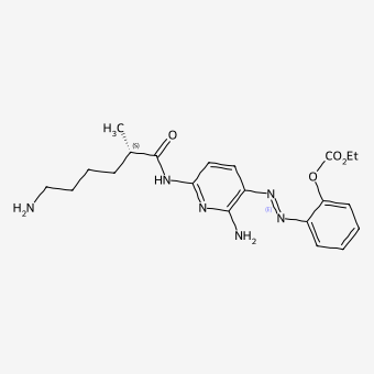 CCOC(=O)Oc1ccccc1/N=N/c1ccc(NC(=O)[C@@H](C)CCCCN)nc1N